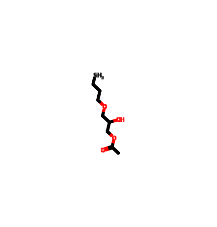 CC(=O)OCC(O)COCCC[SiH3]